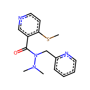 CSc1ccncc1C(=O)N(Cc1ccccn1)N(C)C